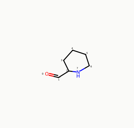 O=[C]C1CCCCN1